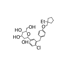 CCC1(COc2ccc(Cc3cc(C4O[C@H](CO)[C@@H](O)[C@H](O)[C@H]4O)ccc3Cl)cc2)CCCC1